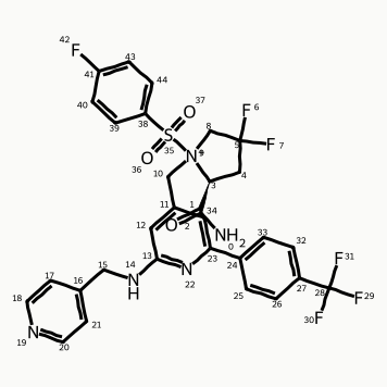 NC(=O)[C@@H]1CC(F)(F)C[N+]1(Cc1cc(NCc2ccncc2)nc(-c2ccc(C(F)(F)F)cc2)c1)S(=O)(=O)c1ccc(F)cc1